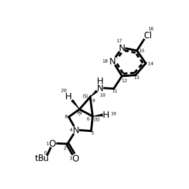 CC(C)(C)OC(=O)N1C[C@@H]2[C@H](C1)[C@H]2NCc1ccc(Cl)nn1